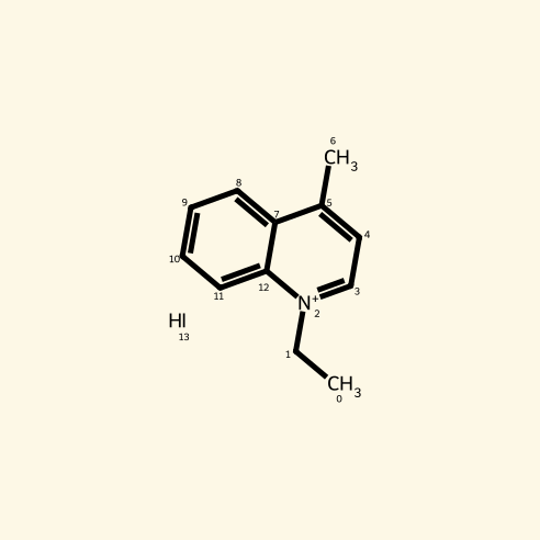 CC[n+]1ccc(C)c2ccccc21.I